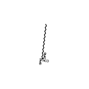 CCCCCCCCCCCCCCCCCCCC(N=C=O)(N=C=O)N=C=O